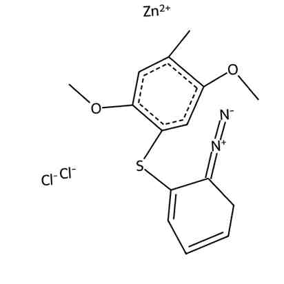 COc1cc(SC2=CC=CCC2=[N+]=[N-])c(OC)cc1C.[Cl-].[Cl-].[Zn+2]